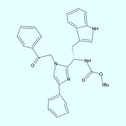 CC(C)(C)OC(=O)N[C@@H](Cc1c[nH]c2ccccc12)c1nc(-c2ccccc2)cn1CC(=O)c1ccccc1